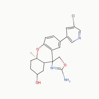 C[C@@]12CCC(O)CC1C1(COC(N)=N1)c1cc(-c3cncc(Cl)c3)ccc1O2